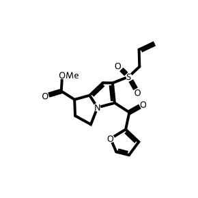 C=CCS(=O)(=O)c1cc2n(c1C(=O)c1ccco1)CCC2C(=O)OC